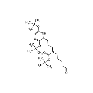 CC(C)(C)OC(=O)N[C@@H](CCCN(CCCCC=O)C(=O)OC(C)(C)C)C(=O)OC(C)(C)C